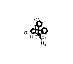 CCCCC(c1ccccc1)(c1ccccc1)[C]1([Ti+3])C=CC=C1C(C)(C)C.[Cl-].[Cl-].[Cl-]